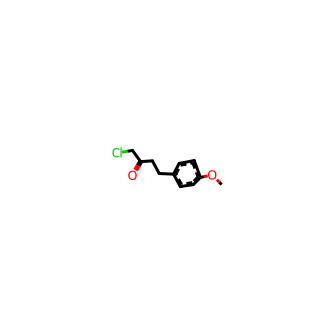 COc1ccc(CCC(=O)CCl)cc1